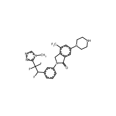 Cn1cnnc1C(F)(F)C(F)c1cccc(N2Cc3c(cc(N4CCNCC4)cc3C(F)(F)F)C2=O)c1